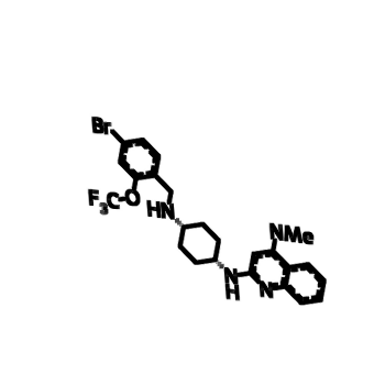 CNc1cc(N[C@H]2CC[C@@H](NCc3ccc(Br)cc3OC(F)(F)F)CC2)nc2ccccc12